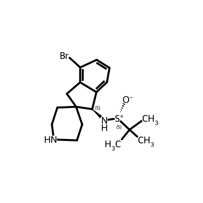 CC(C)(C)[S@@+]([O-])N[C@@H]1c2cccc(Br)c2CC12CCNCC2